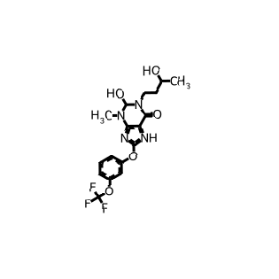 CC(O)CCN1C(=O)c2[nH]c(Oc3cccc(OC(F)(F)F)c3)nc2N(C)C1O